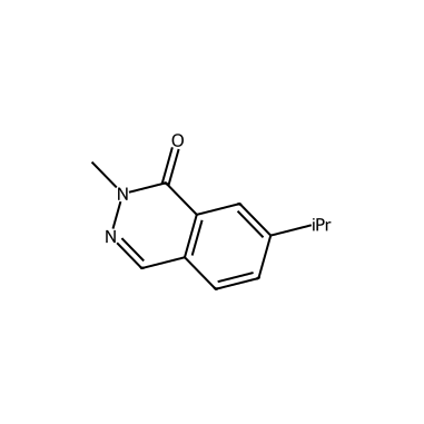 CC(C)c1ccc2cnn(C)c(=O)c2c1